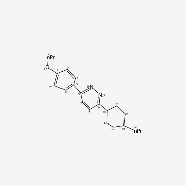 CCCOc1ccc(-c2ccc(C3CCC(CCC)CC3)nn2)cc1